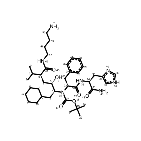 CC(C)[C@H](C[C@H](O)[C@H](CC1CCCCC1)N(C(=O)OC(C)(C)C)[C@@H](Cc1ccccc1)C(=O)N[C@@H](Cc1c[nH]cn1)C(N)=O)C(=O)NCCCCN